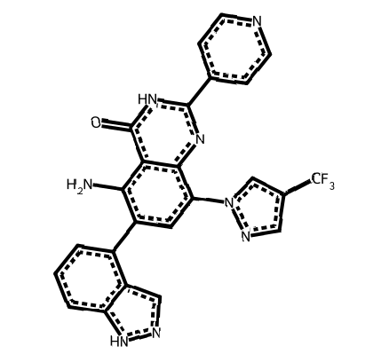 Nc1c(-c2cccc3[nH]ncc23)cc(-n2cc(C(F)(F)F)cn2)c2nc(-c3ccncc3)[nH]c(=O)c12